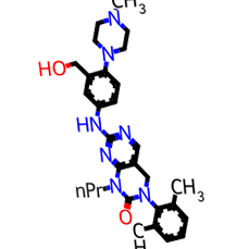 CCCN1C(=O)N(c2c(C)cccc2C)Cc2cnc(Nc3ccc(N4CCN(C)CC4)c(CO)c3)nc21